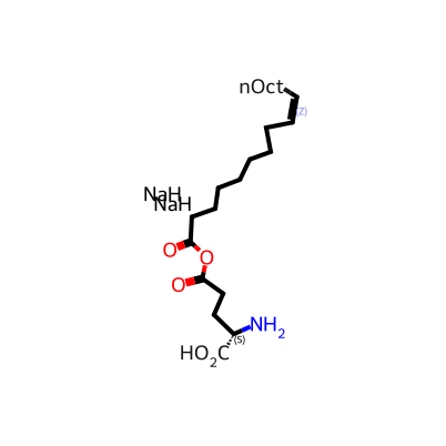 CCCCCCCC/C=C\CCCCCCCC(=O)OC(=O)CC[C@H](N)C(=O)O.[NaH].[NaH]